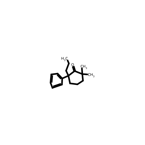 CCCC1(c2ccccc2)CCCC(C)(C)C1=O